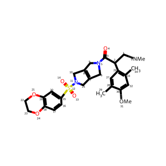 CNCC(C(=O)N1CC2=C(C1)CN(S(=O)(=O)c1ccc3c(c1)OCCO3)C2)c1cc(C)c(OC)cc1C